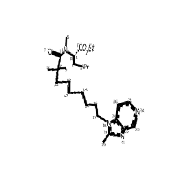 CCOC(=O)[C@H](CC(C)C)N(C)C(=O)C(C)(C)CCCCCCCn1c(C)nc2cnccc21